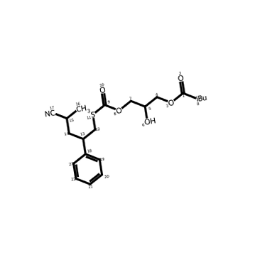 CCC(C)C(=O)OCC(O)COC(=O)SCC(CC(C)C#N)c1ccccc1